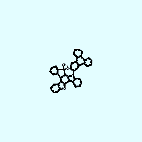 CC1(C)c2ccccc2-c2c1c1c(c3ccccc3n1-c1ccc3c4ccccc4c4ccccc4c3c1)c1oc3ccccc3c21